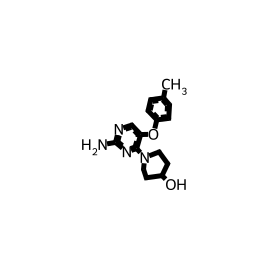 Cc1ccc(Oc2cnc(N)nc2N2CCC(O)CC2)cc1